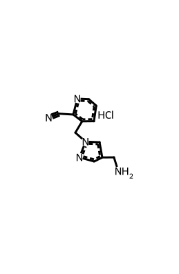 Cl.N#Cc1ncccc1Cn1cc(CN)cn1